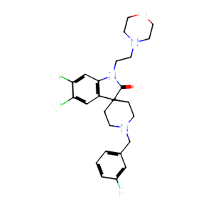 O=C1N(CCN2CCOCC2)c2cc(Cl)c(Cl)cc2C12CCN(Cc1cccc(F)c1)CC2